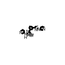 Br.Br.c1cncc(Nc2nc(-c3cccc(-c4csc(Nc5cccnc5)n4)c3)cs2)c1